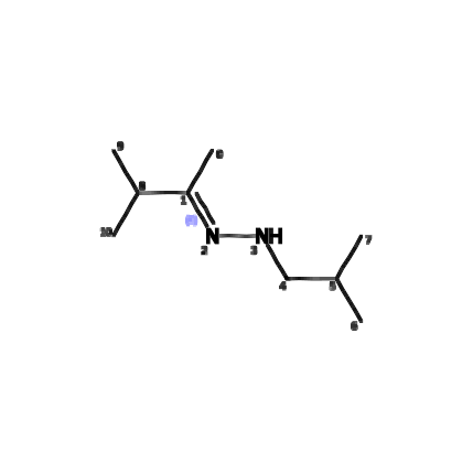 C/C(=N\NCC(C)C)C(C)C